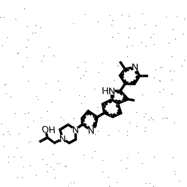 Cc1cc(-c2[nH]c3cc(-c4ccc(N5CCN(CC(C)O)CC5)nc4)ccc3c2C)cc(C)n1